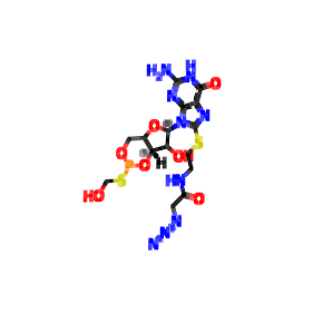 [N-]=[N+]=NCC(=O)NCCSc1nc2c(=O)[nH]c(N)nc2n1[C@@H]1OC2COP(SCO)O[C@H]2C1O